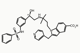 CC(C)(CCn1c(Cc2ccncc2)cc2cc(C(=O)O)ccc21)NC[C@H](O)c1cccc(NS(=O)(=O)c2ccccc2)c1